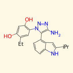 CCc1cc(-n2nnc(N)c2-c2cccc3[nH]c(C(C)C)cc23)c(O)cc1O